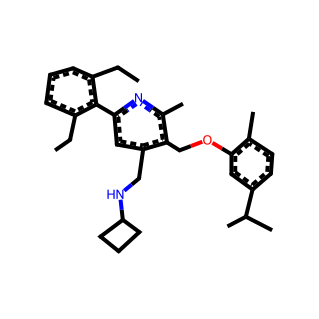 CCc1cccc(CC)c1-c1cc(CNC2CCC2)c(COc2cc(C(C)C)ccc2C)c(C)n1